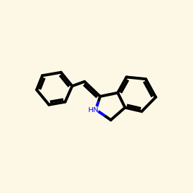 C(=C1NCc2ccccc21)c1ccccc1